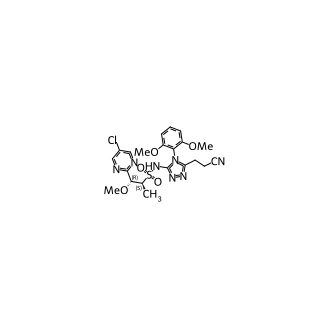 COc1cccc(OC)c1-n1c(CCC#N)nnc1NS(=O)(=O)[C@@H](C)[C@H](OC)c1ncc(Cl)cn1